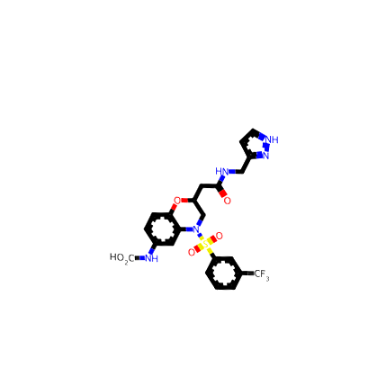 O=C(O)Nc1ccc2c(c1)N(S(=O)(=O)c1cccc(C(F)(F)F)c1)CC(CC(=O)NCc1cc[nH]n1)O2